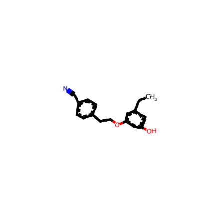 CCc1cc(O)cc(OCCc2ccc(C#N)cc2)c1